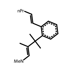 CCC/C=C/c1ccccc1C(C)(C)/C(C)=C/NC